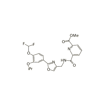 COC(=O)c1cccc(C(=O)NCc2coc(-c3ccc(OC(F)F)c(OC(C)C)c3)n2)n1